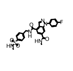 CNC(=O)c1cc(C(=O)NCc2ccc(S(=O)(=O)NC)cc2)c2cnn(-c3ccc(F)cc3)c2c1